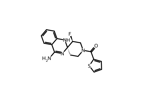 NC1=N[C@@]2(CCN(C(=O)c3cccs3)C[C@@H]2F)Nc2ccccc21